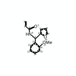 C=CC(=O)NC(c1ccco1)c1ccccc1OC